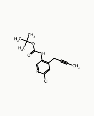 CC#CCc1cc(Cl)ncc1NC(=O)OC(C)(C)C